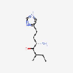 CCC(C)C(=O)[C@@H](N)CCc1c[nH]cn1